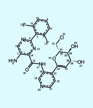 Nc1cnc(-c2c(F)cccc2F)nc1C(=O)Nc1cnccc1C1=C[C@@H](O)[C@H](O)[C@@H](CCl)O1